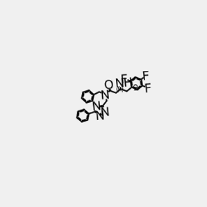 N[C@@H](CC(=O)N1Cc2ccccc2-n2c(nnc2-c2ccccc2)C1)Cc1cc(F)c(F)cc1F